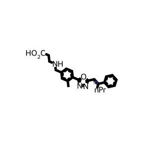 CCC/C(=C\c1nnc(-c2ccc(CNCCC(=O)O)cc2C)o1)c1ccccc1